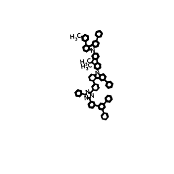 Cc1cccc(-c2cccc3c2c2cc(-c4ccccc4)ccc2n3-c2ccc3c(c2)C(C)(C)c2cc(-n4c5c(c6cc(-c7ccccc7)ccc64)C(C4=CC(c6nc(-c7ccccc7)nc(-c7cccc(-c8cc(C9=CCCC=C9)cc(-c9ccccc9)c8)c7)n6)CC=C4)CC=C5)ccc2-3)c1